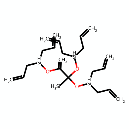 C=CC[SiH](CC=C)OC(=C)C([SiH3])(O[SiH](CC=C)CC=C)O[SiH](CC=C)CC=C